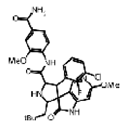 COc1cc2c(cn1)C1(C(=O)N2)C(CC(C)(C)C)NC(C(=O)Nc2ccc(C(N)=O)cc2OC)C1c1cccc(Cl)c1F